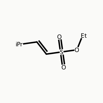 CCOS(=O)(=O)/C=C/C(C)C